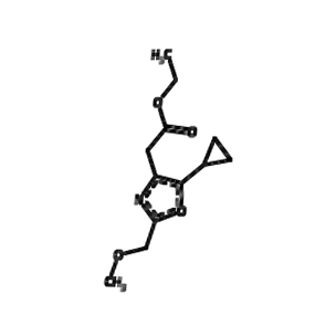 CCOC(=O)Cc1nc(COC)oc1C1CC1